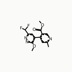 COC(=O)c1cnc(C)cc1-c1cc(C(F)F)nnc1OC